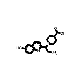 CCC(c1ccc2cc(O)ccc2n1)N1CCC(C(=O)O)CC1